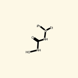 CCN(NC(=O)NO)C(C)C